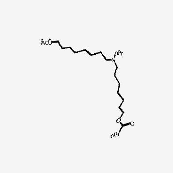 CCCC(=O)OCCCCCCCN(CCC)CCCCCCCCOC(C)=O